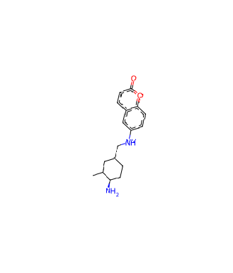 CC1CC(CNc2ccc3oc(=O)ccc3c2)CC[C@H]1N